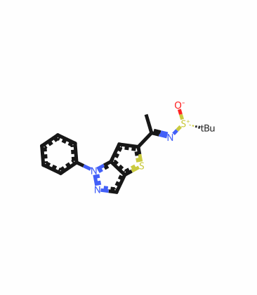 C/C(=N\[S@+]([O-])C(C)(C)C)c1cc2c(cnn2-c2ccccc2)s1